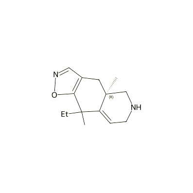 CCC1(C)C2=CCNC[C@]2(C)Cc2cnoc21